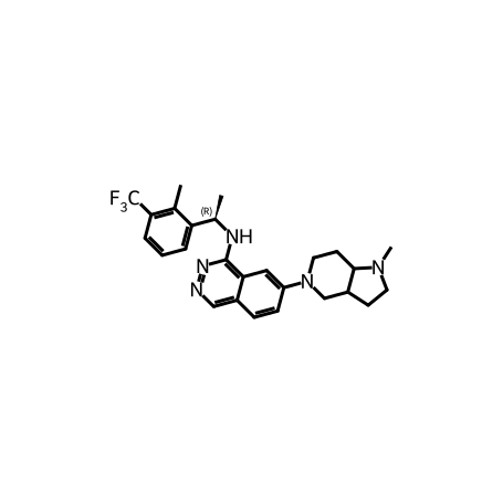 Cc1c([C@@H](C)Nc2nncc3ccc(N4CCC5C(CCN5C)C4)cc23)cccc1C(F)(F)F